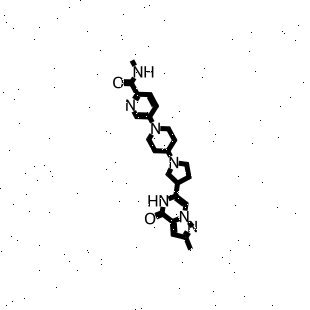 CNC(=O)c1ccc(N2CCC(N3CCC(c4cn5nc(C)cc5c(=O)[nH]4)C3)CC2)cn1